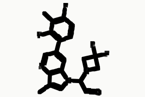 Cc1c(F)ccc(-c2cnc3c(C)cn(C(C=O)N4CC(F)(F)C4)c3c2)c1F